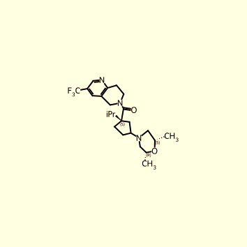 CC(C)[C@]1(C(=O)N2CCc3ncc(C(F)(F)F)cc3C2)CCC(N2C[C@@H](C)O[C@@H](C)C2)C1